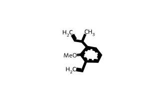 C=C[C](C)c1cccc(C=C)c1OC